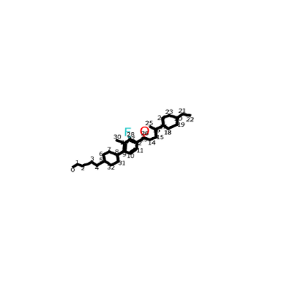 CCCCCC1CCC(c2ccc(C3CCC(C4CCC(CC)CC4)CO3)c(F)c2C)CC1